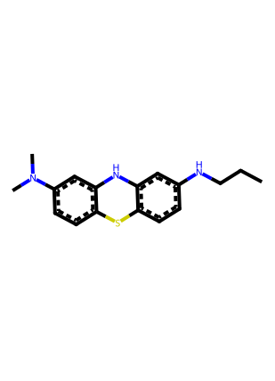 CCCNc1ccc2c(c1)Nc1cc(N(C)C)ccc1S2